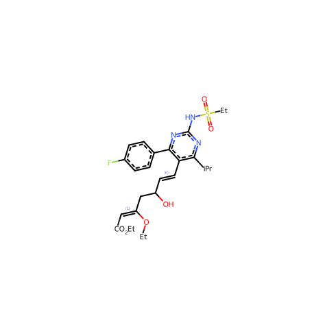 CCOC(=O)/C=C(/CC(O)/C=C/c1c(-c2ccc(F)cc2)nc(NS(=O)(=O)CC)nc1C(C)C)OCC